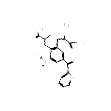 CC(Cc1cc(C(=O)c2ccccn2)cc([N+](=O)[O-])c1CC(C)C(=O)O)C(=O)O